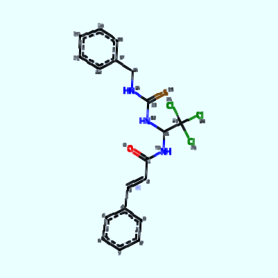 O=C(/C=C/c1ccccc1)NC(NC(=S)NCc1ccccc1)C(Cl)(Cl)Cl